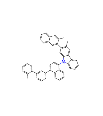 Cc1ccccc1-c1cccc(-c2ccc(-n3c4ccccc4c4cc(C)c(-c5cc6ccccc6cc5C)cc43)c3ccccc23)c1